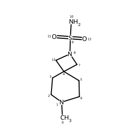 CN1CCC2(CC1)CN(S(N)(=O)=O)C2